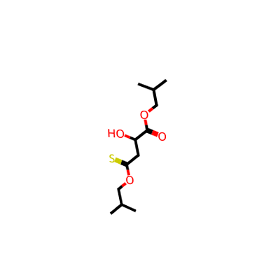 CC(C)COC(=O)C(O)CC(=S)OCC(C)C